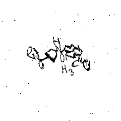 CN(c1cccnc1)c1ccn2ncc(C(=O)NC3CCC(C(=O)N4CCOCC4)CC3)c2n1